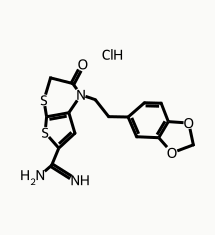 Cl.N=C(N)c1cc2c(s1)SCC(=O)N2CCc1ccc2c(c1)OCO2